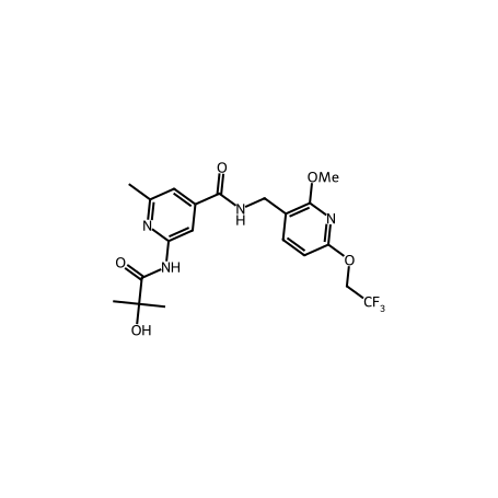 COc1nc(OCC(F)(F)F)ccc1CNC(=O)c1cc(C)nc(NC(=O)C(C)(C)O)c1